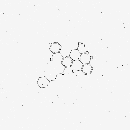 CC1Cc2c(-c3ccccc3Cl)cc(OCCN3CCCCC3)cc2N(c2c(Cl)cccc2Cl)C1=O